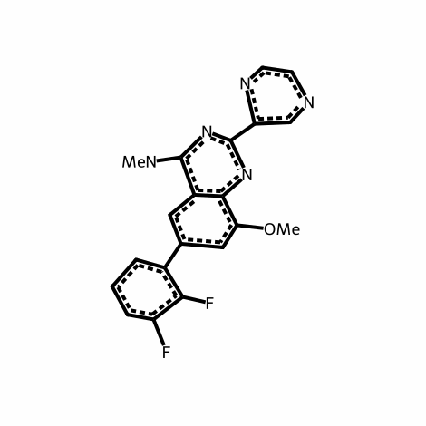 CNc1nc(-c2cnccn2)nc2c(OC)cc(-c3cccc(F)c3F)cc12